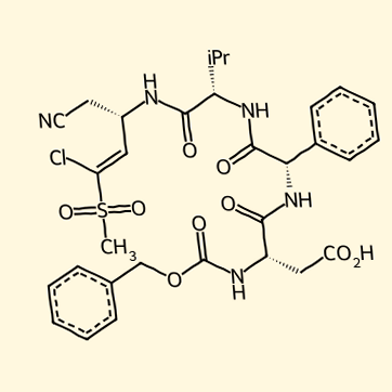 CC(C)[C@H](NC(=O)[C@@H](NC(=O)[C@H](CC(=O)O)NC(=O)OCc1ccccc1)c1ccccc1)C(=O)N[C@H](/C=C(\Cl)S(C)(=O)=O)CC#N